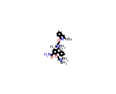 CCCCc1cc2ccccc2c(OCC[N+](C)(C)[C@@H](CC)c2ccc(C(N)=O)c(OCCN(C)C)c2-c2ccccc2)n1